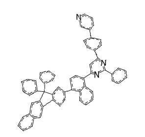 c1ccc(-c2nc(-c3ccc(-c4cccnc4)cc3)cc(-c3ccc(-c4ccc5c(c4)C(c4ccccc4)(c4ccccc4)c4cc6ccccc6cc4-5)c4ccccc34)n2)cc1